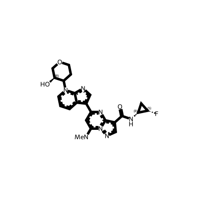 CNc1cc(-c2cnc3n(C4CCOC[C@@H]4O)cccc2-3)nc2c(C(=O)N[C@@H]3C[C@@H]3F)cnn12